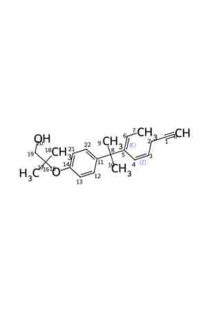 C#CC/C=C\C(=C/C)C(C)(C)c1ccc(OC(C)(C)CO)cc1